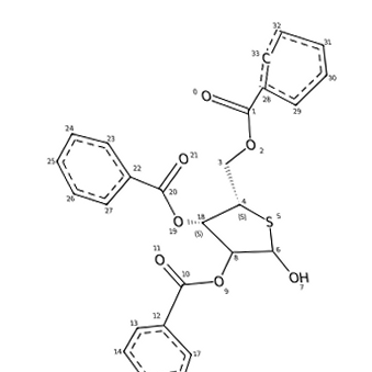 O=C(OC[C@@H]1SC(O)C(OC(=O)c2ccccc2)[C@@H]1OC(=O)c1ccccc1)c1ccccc1